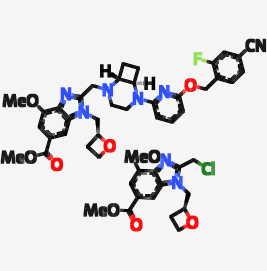 COC(=O)c1cc(OC)c2nc(CCl)n(C[C@@H]3CCO3)c2c1.COC(=O)c1cc(OC)c2nc(CN3CCN(c4cccc(OCc5ccc(C#N)cc5F)n4)[C@@H]4CC[C@H]43)n(C[C@@H]3CCO3)c2c1